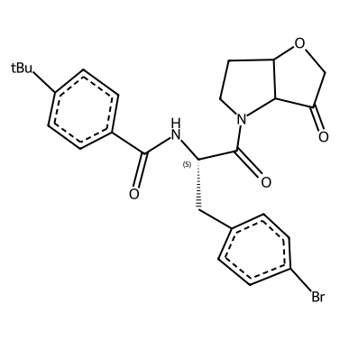 CC(C)(C)c1ccc(C(=O)N[C@@H](Cc2ccc(Br)cc2)C(=O)N2CCC3OCC(=O)C32)cc1